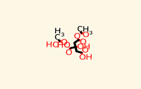 CC(=O)O.CC(=O)OC(=O)CC(O)(CC(=O)O)C(=O)O